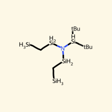 CC(C)(C)[SiH](N([SiH2]C[SiH3])[SiH2]C[SiH3])C(C)(C)C